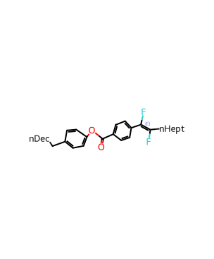 CCCCCCCCCCCc1ccc(OC(=O)c2ccc(/C(F)=C(\F)CCCCCCC)cc2)cc1